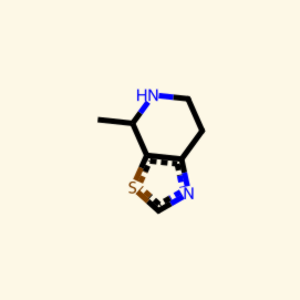 CC1NCCc2ncsc21